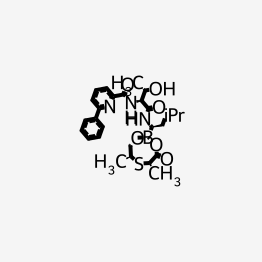 CC(C)C[C@H](NC(=O)[C@@H](NC(=O)c1cccc(-c2ccccc2)n1)[C@@H](C)O)B1OC[C@@H](C)S[C@@H](C)C(=O)O1